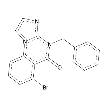 O=c1c2c(Br)cccc2n2ccnc2n1Cc1ccccc1